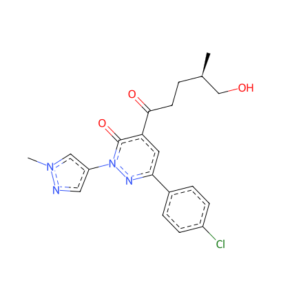 C[C@@H](CO)CCC(=O)c1cc(-c2ccc(Cl)cc2)nn(-c2cnn(C)c2)c1=O